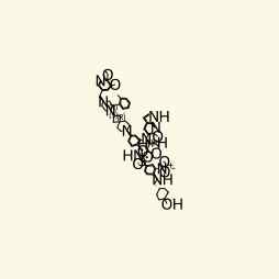 COc1cc(CN2CCN([C@H]3CC4(CCN(c5ccc(C(=O)NS(=O)(=O)c6ccc(NC[C@H]7CC[C@](C)(O)CC7)c([N+](=O)[O-])c6)c(N6c7cc8cc[nH]c8nc7O[C@H]7COCC[C@@H]76)c5)CC4)[C@H]3C)[C@H](c3ccccc3C)C2)cnc1OC